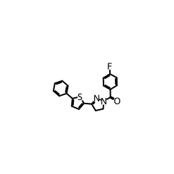 O=C(c1ccc(F)cc1)N1CCC(c2ccc(-c3ccccc3)s2)=N1